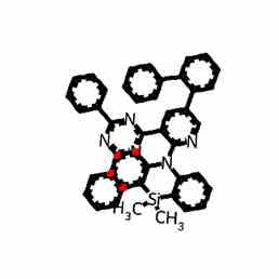 C[Si]1(C)c2ccccc2N(c2ncc(-c3ccccc3-c3ccccc3)cc2-c2nc(-c3ccccc3)nc(-c3ccccc3)n2)c2ccccc21